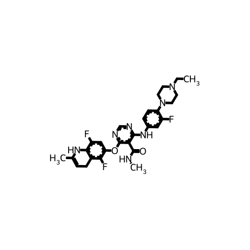 CCN1CCN(c2ccc(Nc3ncnc(Oc4cc(F)c5c(c4F)CC=C(C)N5)c3C(=O)NC)cc2F)CC1